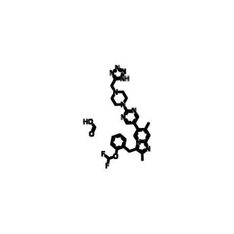 Cc1cc2nc(C)c(Cc3ccccc3OC(F)F)n2cc1-c1cnc(N2CCN(Cc3nnn[nH]3)CC2)nc1.O=CO